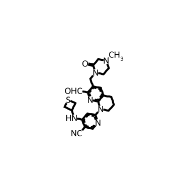 CN1CCN(Cc2cc3c(nc2C=O)N(c2cc(NC4CSC4)c(C#N)cn2)CCC3)C(=O)C1